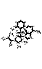 CC(C)=C(O)[C@H]1O[C@](n2cnc3c(N)ncnc32)(S(=O)(=O)c2ccccc2C)[C@H](O)[C@@H]1O